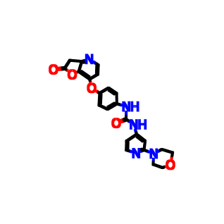 O=C(Nc1ccc(Oc2ccnc3c2OC(=O)C3)cc1)Nc1ccnc(N2CCOCC2)c1